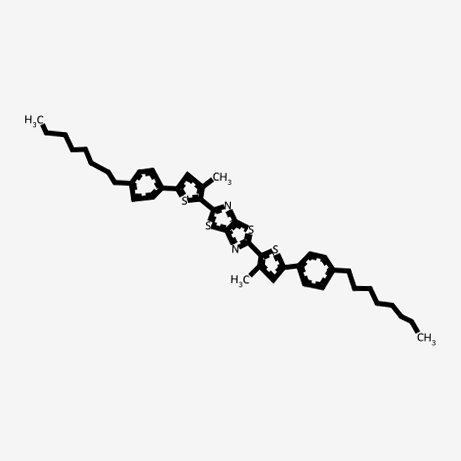 CCCCCCCCc1ccc(-c2cc(C)c(-c3nc4sc(-c5sc(-c6ccc(CCCCCCCC)cc6)cc5C)nc4s3)s2)cc1